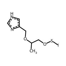 CC(COSI)OCc1c[nH]cn1